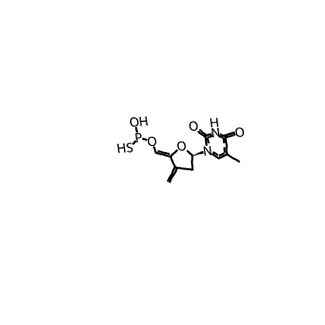 C=C1C[C@H](n2cc(C)c(=O)[nH]c2=O)O/C1=C\OP(O)S